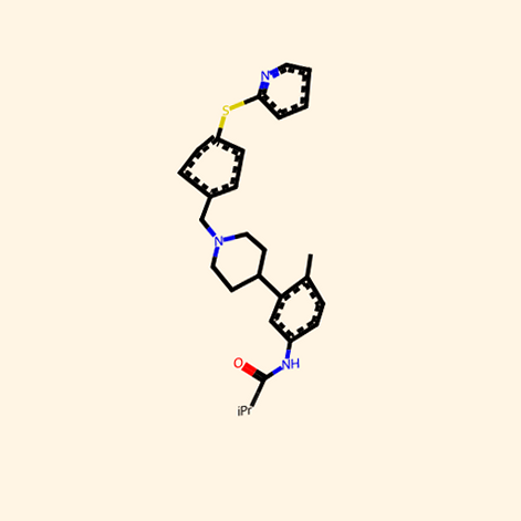 Cc1ccc(NC(=O)C(C)C)cc1C1CCN(Cc2ccc(Sc3ccccn3)cc2)CC1